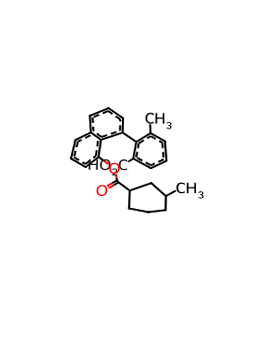 Cc1cccc(C(=O)O)c1-c1cccc2cccc(OC(=O)C3CCCC(C)C3)c12